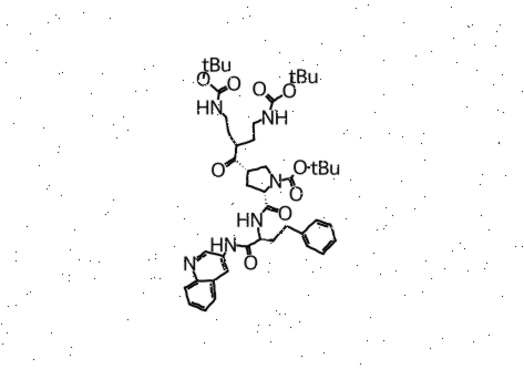 CC(C)(C)OC(=O)NCCC(CCNC(=O)OC(C)(C)C)C(=O)[C@H]1C[C@@H](C(=O)N[C@@H](CCc2ccccc2)C(=O)Nc2cnc3ccccc3c2)N(C(=O)OC(C)(C)C)C1